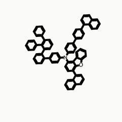 c1ccc(-c2cccc(-c3ccccc3-c3ccc(N(c4ccc(-c5ccc(-c6cccc7ccccc67)cc5)cc4)c4ccc(-c5cccc6ccccc56)c5oc6ccccc6c45)cc3)c2-c2ccccc2)cc1